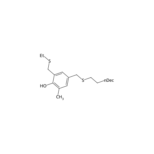 CCCCCCCCCCCCSCc1cc(C)c(O)c(CSCC)c1